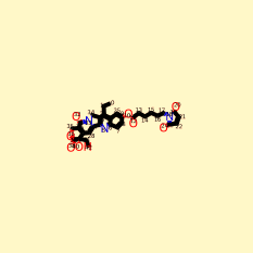 CCc1c2c(nc3ccc(OC(=O)CCCCCN4C(=O)C=CC4=O)cc13)-c1cc3c(c(=O)n1C2)COC(=O)[C@]3(O)CC